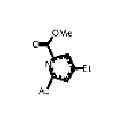 CCc1cc(C(C)=O)nc(C(=O)OC)c1